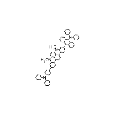 CN1c2cc(-c3ccc(N(c4ccccc4)c4ccccc4)cc3)ccc2-c2ccc3c4c(ccc1c24)N(C)c1cc(-c2c4ccccc4c(N(c4ccccc4)c4ccccc4)c4ccccc24)ccc1-3